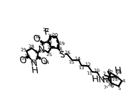 CC1(C)[C@@H]2CC[C@@]1(C)[C@@H](NCCCCCCCSc1ccc(F)c3c1CN(C1CCC(=O)NC1=O)C3=O)C2